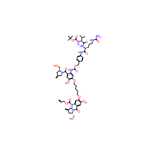 C=CCOC(=O)Nc1cc(OCCCCCOc2cc(NC(=O)OCc3ccc(NC(=O)[C@H](CCCNC(N)=O)NC(=O)[C@@H](NC(=O)OC(C)(C)C)C(C)C)cc3)c(C(=O)N3CC(=C)C[C@H]3CO)cc2OC)c(OC)cc1C(=O)N1CC(=C)C[C@H]1CO